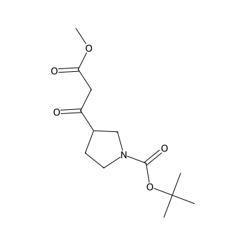 COC(=O)CC(=O)C1CCN(C(=O)OC(C)(C)C)C1